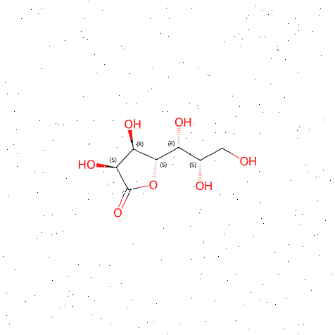 O=C1O[C@@H]([C@H](O)[C@@H](O)CO)[C@H](O)[C@@H]1O